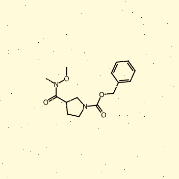 CON(C)C(=O)C1CCN(C(=O)OCc2ccccc2)C1